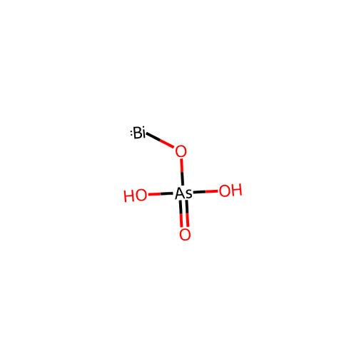 O=[As](O)(O)[O][Bi]